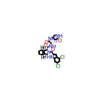 NC(=O)[C@H](C[C@@H]1CCNC1=O)NC(=O)[C@@H]1[C@@H]2[C@H](CN1C(=O)c1cc3c(Cl)cc(Cl)cc3[nH]1)[C@@H]1C=C[C@H]2C1